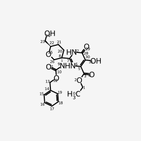 CCOC(=O)c1nc([C@]2(NC(=O)OCc3ccccc3)CC[C@H](CO)OC2)[nH]c(=O)c1O